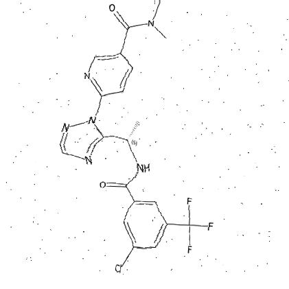 C[C@H](NC(=O)c1cc(Cl)cc(C(F)(F)F)c1)c1ncnn1-c1ccc(C(=O)N(C)C)cn1